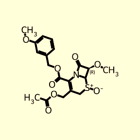 COc1cccc(COC(=O)C2=C(COC(C)=O)C[S+]([O-])C3[C@H](OC)C(=O)N23)c1